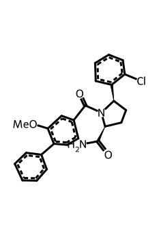 COc1cc(C(=O)N2[C@@H](c3ccccc3Cl)CC[C@H]2C(N)=O)ccc1-c1ccccc1